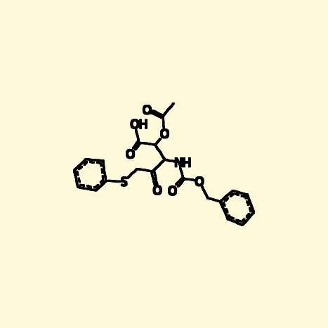 CC(=O)OC(C(=O)O)C(NC(=O)OCc1ccccc1)C(=O)CSc1ccccc1